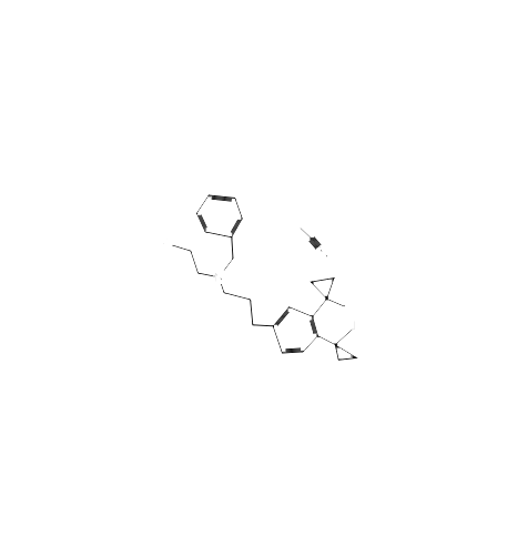 CC#N.CCCN(CCCc1ccc(C2(F)CC2)c(C2(F)CC2)c1)Cc1ccccc1